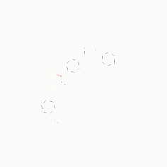 Cc1cc(C2=NOC(c3cc(Cl)c(F)c(Cl)c3)(C(F)(F)F)C2)ccc1C(=O)N[S+]([O-])Cc1cccc(C#N)c1